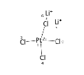 [Cl][Pt-2]([Cl])([Cl])[Cl].[Li+].[Li+]